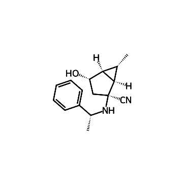 C[C@H]1[C@H]2[C@@H]1[C@@](C#N)(N[C@H](C)c1ccccc1)C[C@@H]2O